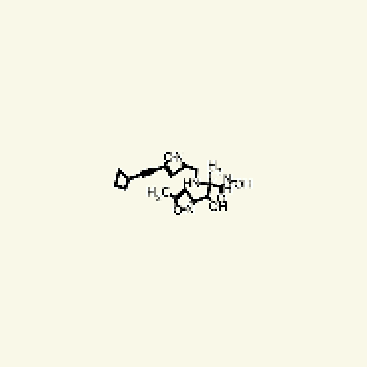 Cc1cc(C(O)C(C)(NCc2cc(C#CC3CCC3)on2)C(=O)NO)no1